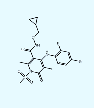 Cc1c(C(=O)NOCC2CC2)c(Nc2ccc(Br)cc2F)c(F)c(=O)n1S(C)(=O)=O